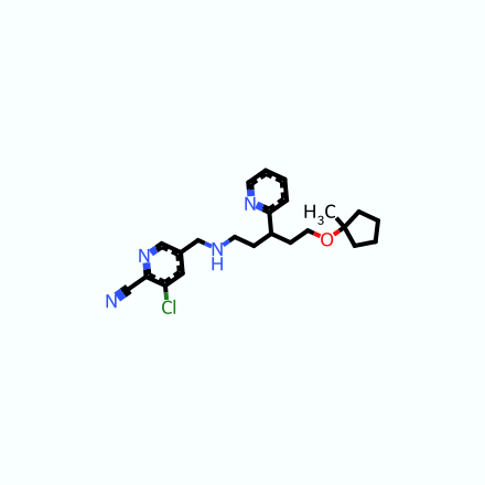 CC1(OCCC(CCNCc2cnc(C#N)c(Cl)c2)c2ccccn2)CCCC1